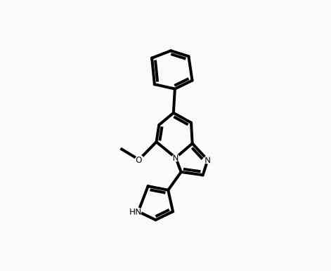 COc1cc(-c2ccccc2)cc2ncc(-c3cc[nH]c3)n12